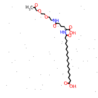 CC(=O)COCCOCCNC(=O)CCC[C@H](NC(=O)CCCCCCCCCCCCCCCCC(=O)O)C(=O)O